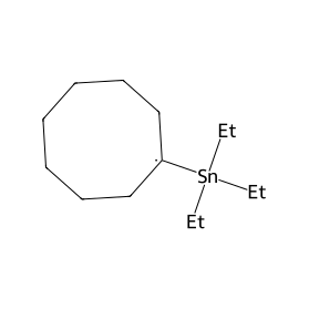 C[CH2][Sn]([CH2]C)([CH2]C)[C]1CCCCCCC1